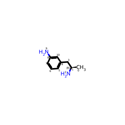 C[C@@H](N)Cc1cccc(N)c1